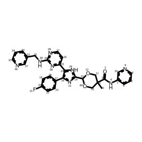 CC1(C(=O)Nc2cccnc2)COC(c2nc(-c3ccc(F)cc3)c(-c3ccnc(NCc4cccnc4)n3)[nH]2)OC1